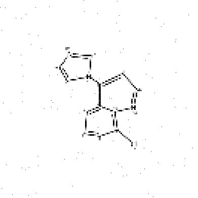 Clc1cccc2c(-n3ccnc3)ccnc12